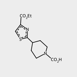 CCOC(=O)c1csc(C2CCN(C(=O)O)CC2)n1